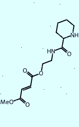 COC(=O)/C=C/C(=O)OCCNC(=O)C1CCCCN1